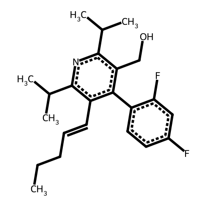 CCCC=Cc1c(C(C)C)nc(C(C)C)c(CO)c1-c1ccc(F)cc1F